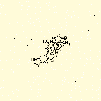 C[C@@H]1CC2C[C@H](S[C@H]3CCNC3)CC[C@]2(C)[C@H]2CC[C@]3(C)C(=O)CC[C@H]3[C@H]12